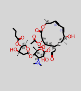 CCCC(=O)O[C@H]1[C@H](C)O[C@@H](O[C@H]2[C@H](N(C)C)[C@@H](O)[C@H](O[C@H]3[C@@H](CC=O)C[C@@H](C)[C@@H](O)/C=C/C=C/C[C@@H](C)OC(=O)C[C@@H](OC(C)=O)[C@@H]3OC)O[C@@H]2C)C[C@@]1(C)O